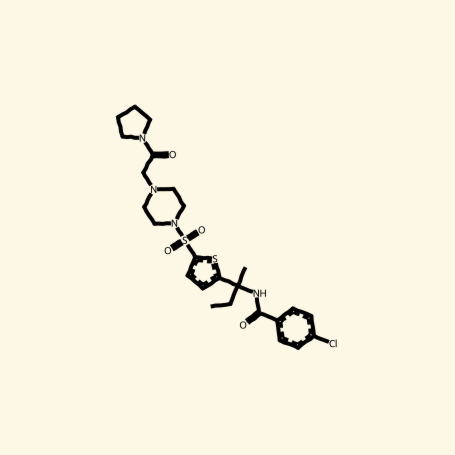 CCC(C)(NC(=O)c1ccc(Cl)cc1)c1ccc(S(=O)(=O)N2CCN(CC(=O)N3CCCC3)CC2)s1